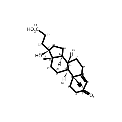 C#C[C@]12CCC(=O)C=C1CC[C@@H]1[C@@H]2CC[C@@]2(C)[C@H]1CC[C@@]2(O)CCC(=O)O